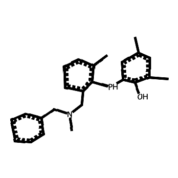 Cc1cc(C)c(O)c(Pc2c(C)cccc2CN(C)Cc2ccccc2)c1